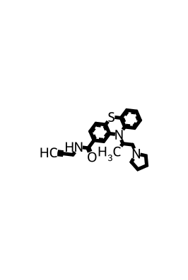 C#CCNC(=O)c1ccc2c(c1)N(C(C)CN1CCCC1)c1ccccc1S2